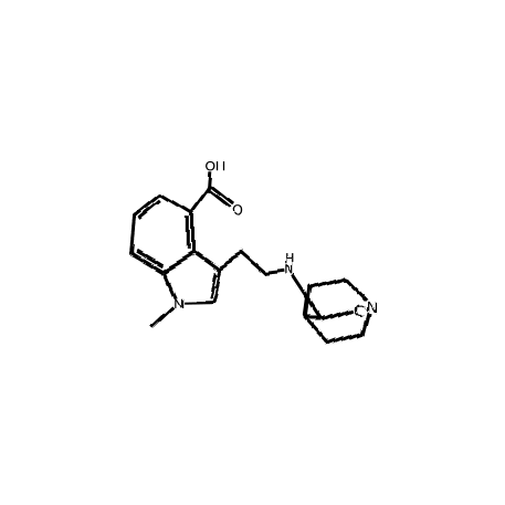 Cn1cc(CCNC2CN3CCC2CC3)c2c(C(=O)O)cccc21